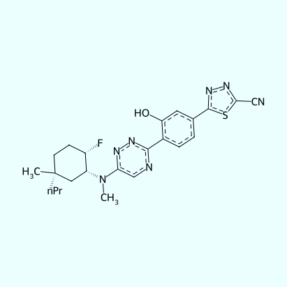 CCC[C@]1(C)CC[C@H](F)[C@H](N(C)c2cnc(-c3ccc(-c4nnc(C#N)s4)cc3O)nn2)C1